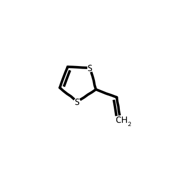 C=CC1SC=CS1